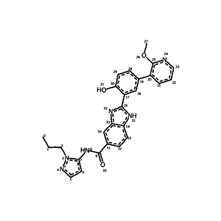 CCCn1nccc1NC(=O)c1ccc2[nH]c(-c3cc(-c4cccnc4OC)ccc3O)nc2c1